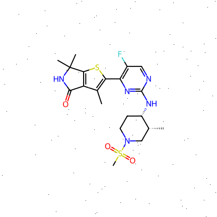 Cc1c(-c2nc(N[C@H]3CCN(S(C)(=O)=O)C[C@H]3C)ncc2F)sc2c1C(=O)NC2(C)C